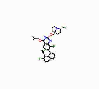 C#Cc1c(F)ccc2cccc(-c3c(F)cc4c(OCC(C)C)nc(OC[C@@]56CCCN5[C@H](CF)CC6)nc4c3F)c12